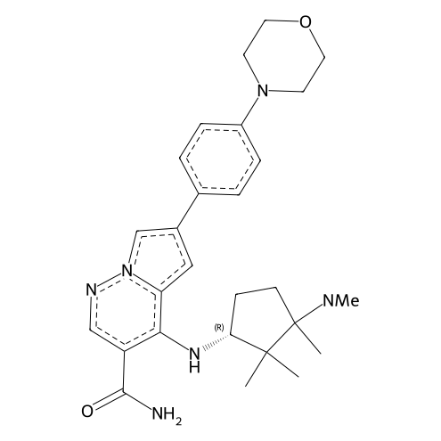 CNC1(C)CC[C@@H](Nc2c(C(N)=O)cnn3cc(-c4ccc(N5CCOCC5)cc4)cc23)C1(C)C